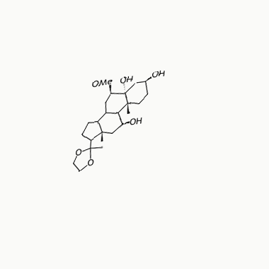 CO[C@@H]1CC2C3CCC(C4(C)OCCO4)[C@@]3(C)C[C@H](O)C2[C@@]2(C)CC[C@H](O)C[C@]12O